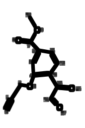 C#CCOc1cc(C(=O)OC)ccc1C(=O)C=O